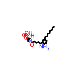 CCCCCCCCc1cccc(CCCCC(=O)N2CC(OP(=O)(O)O)C2)c1.N